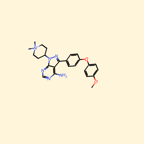 COc1ccc(Oc2ccc(-c3nn(C4CC[N+](C)(C)CC4)c4ncnc(N)c34)cc2)cc1